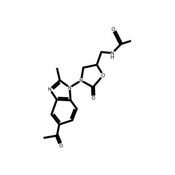 CC(=O)NCC1CN(n2c(C)nc3cc(C(C)=O)ccc32)C(=O)O1